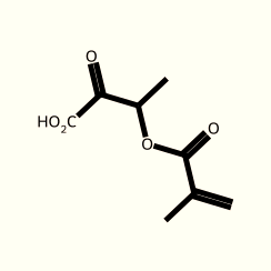 C=C(C)C(=O)OC(C)C(=O)C(=O)O